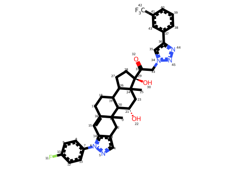 CC12Cc3cnn(-c4ccc(F)cc4)c3C=C1CCC1C2[C@@H](O)CC2(C)C1CC[C@]2(O)C(=O)Cn1cc(-c2cccc(C(F)(F)F)c2)nn1